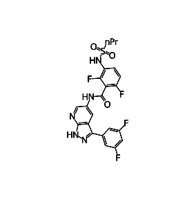 CCCS(=O)(=O)Nc1ccc(F)c(C(=O)Nc2cnc3[nH]nc(-c4cc(F)cc(F)c4)c3c2)c1F